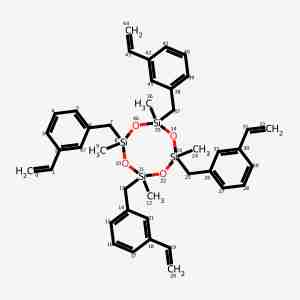 C=Cc1cccc(C[Si]2(C)O[Si](C)(Cc3cccc(C=C)c3)O[Si](C)(Cc3cccc(C=C)c3)O[Si](C)(Cc3cccc(C=C)c3)O2)c1